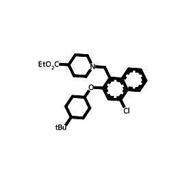 CCOC(=O)C1CCN(Cc2c(OC3CCC(C(C)(C)C)CC3)cc(Cl)c3ccccc23)CC1